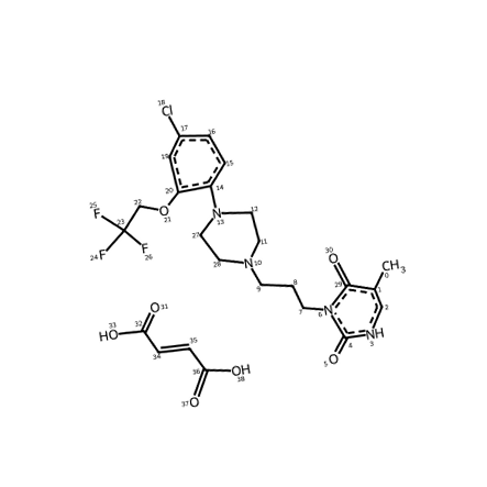 Cc1c[nH]c(=O)n(CCCN2CCN(c3ccc(Cl)cc3OCC(F)(F)F)CC2)c1=O.O=C(O)C=CC(=O)O